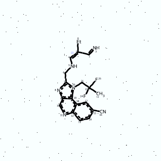 CC/C(C=N)=C/NCc1nc2cnc3ccc(C#N)cc3c2n1CC(C)(F)F